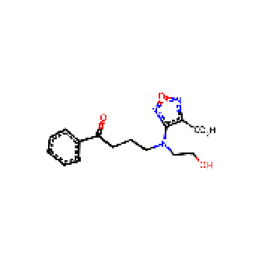 O=C(CCCN(CCO)c1nonc1C(=O)O)c1ccccc1